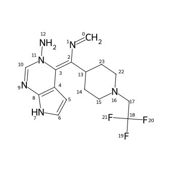 C=N/C(=C1/c2cc[nH]c2N=CN1N)C1CCN(CC(F)(F)F)CC1